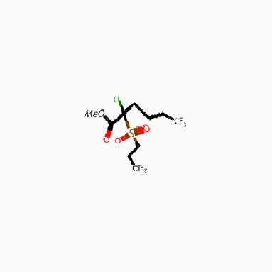 COC(=O)C(Cl)(CCCC(F)(F)F)S(=O)(=O)CCC(F)(F)F